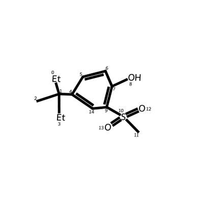 CCC(C)(CC)c1ccc(O)c(S(C)(=O)=O)c1